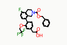 O=C(O)Cc1ccc(-c2ccc(F)c3c2CN(C(=O)OCc2ccccc2)CC3)c(OCC(F)(F)F)c1